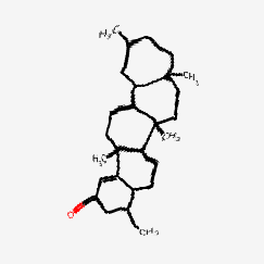 CC1CCC2(C)CCC3(C)C(CCC4(C)C5=CC(=O)CC(C)C5CCC43)C2C1